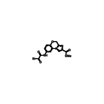 CCC(=O)C(=O)Nc1ccc2c(c1)-n1cc(C(=O)OC)nc1CO2